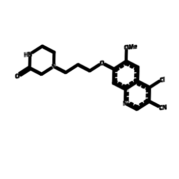 COc1cc2c(Cl)c(C#N)cnc2cc1OCCCN1CCNC(=O)C1